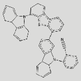 N#Cc1ccccc1N1c2cc(-c3cccc4c5c(sc34)=C(N3C4=CC=CCC4C4=C3CCC=C4)CCC=5)ccc2C2C=CC=CC21